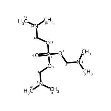 CN(C)COP(=O)(OCN(C)C)OCN(C)C